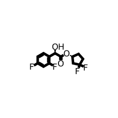 O=C(O[C@@H]1CCC(F)(F)C1)[C@H](O)c1ccc(F)cc1F